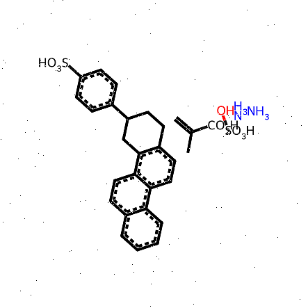 C=C(C)C(=O)O.N.N.O=S(=O)(O)O.O=S(=O)(O)c1ccc(C2CCc3ccc4c(ccc5ccccc54)c3C2)cc1